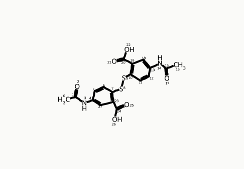 CC(=O)Nc1ccc(SSc2ccc(NC(C)=O)cc2C(=O)O)c(C(=O)O)c1